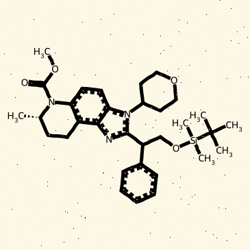 COC(=O)N1c2ccc3c(nc(C(CO[Si](C)(C)C(C)(C)C)c4ccccc4)n3C3CCOCC3)c2CC[C@@H]1C